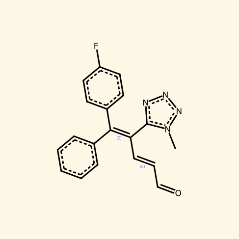 Cn1nnnc1C(/C=C/C=O)=C(/c1ccccc1)c1ccc(F)cc1